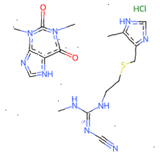 CN/C(=N/C#N)NCCSCc1nc[nH]c1C.Cl.Cn1c(=O)c2[nH]cnc2n(C)c1=O